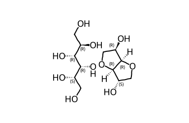 OC[C@@H](O)[C@@H](O)[C@H](O)[C@@H](O)CO.O[C@@H]1CO[C@H]2[C@@H]1OC[C@@H]2O